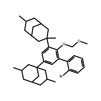 COCOc1c(-c2ccccc2Br)cc(C23CC(C)CC(CC(C)C2)C3)cc1C1(C)CC2CC(C)CC(C2)C1